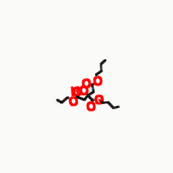 CCCCOC(=O)CC(O)(CC(=O)OCCC)C(=O)OCCCC